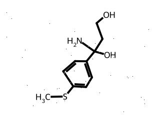 CSc1ccc(C(N)(O)CCO)cc1